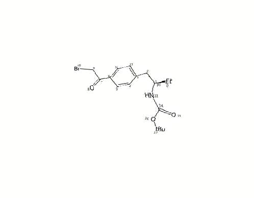 CC[C@H](Cc1ccc(C(=O)CBr)cc1)NC(=O)OC(C)(C)C